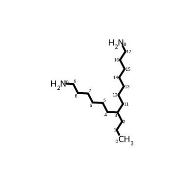 CCCC(CCCCCCN)CCCCCCCN